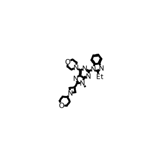 CCc1nc2ccccc2n1-c1nc(N2CCOCC2)c2nc(C3CN(C4CCOCC4)C3)n(C)c2n1